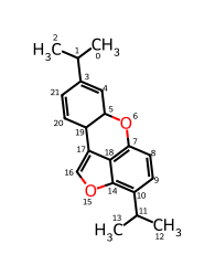 CC(C)C1=CC2Oc3ccc(C(C)C)c4occ(c34)C2C=C1